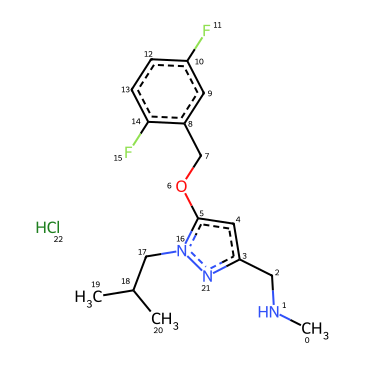 CNCc1cc(OCc2cc(F)ccc2F)n(CC(C)C)n1.Cl